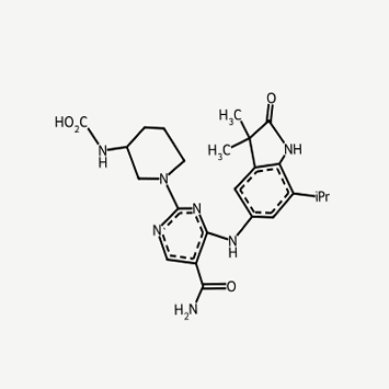 CC(C)c1cc(Nc2nc(N3CCCC(NC(=O)O)C3)ncc2C(N)=O)cc2c1NC(=O)C2(C)C